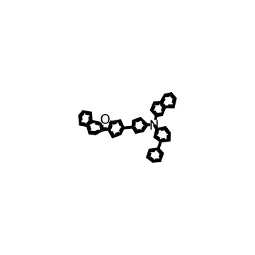 c1ccc(-c2cccc(N(c3ccc(-c4ccc5c(c4)oc4c6ccccc6ccc54)cc3)c3ccc4ccccc4c3)c2)cc1